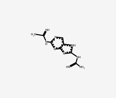 N=C(N)Nc1ncc2[nH]c(NC(=N)N)nc2n1